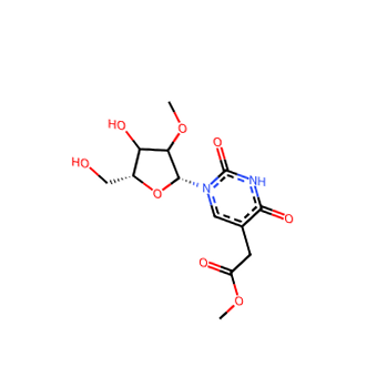 COC(=O)Cc1cn([C@@H]2O[C@H](CO)C(O)C2OC)c(=O)[nH]c1=O